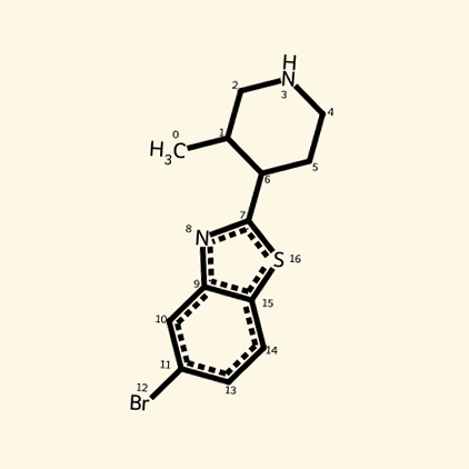 CC1CNCCC1c1nc2cc(Br)ccc2s1